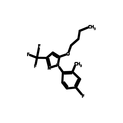 CCCCOc1cc(C(F)(F)F)nn1-c1ccc(F)cc1C